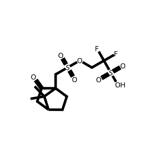 CC1(C)C2CCC1(CS(=O)(=O)OCC(F)(F)S(=O)(=O)O)C(=O)C2